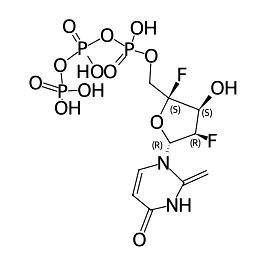 C=C1NC(=O)C=CN1[C@@H]1O[C@](F)(COP(=O)(O)OP(=O)(O)OP(=O)(O)O)[C@@H](O)[C@H]1F